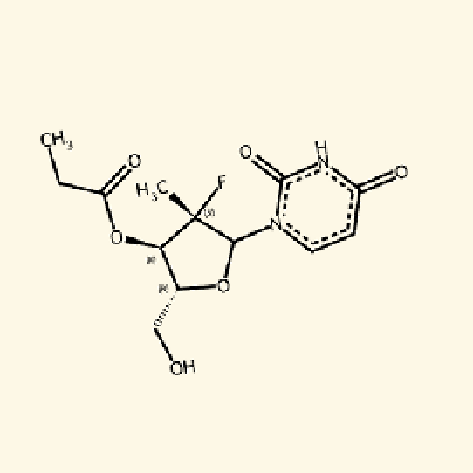 CCC(=O)O[C@@H]1[C@@H](CO)OC(n2ccc(=O)[nH]c2=O)[C@@]1(C)F